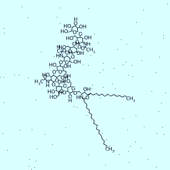 CCCCCCCCCCCCC/C=C/[C@@H](O)[C@H](CO[C@@H]1OC(CO)[C@@H](O[C@@H]2OC(CO)[C@H](O)[C@H](O[C@@H]3OC(CO)[C@@H](O[C@@H]4OC(CO)[C@H](O)[C@H](O[C@@H]5OC(CO)[C@@H](O[C@@H]6OC(CO)[C@H](O)[C@H](O[C@@H]7OC(CO)[C@@H](O[C@@H]8OC(CO)[C@H](O)[C@H](O)C8O)[C@H](O)C7NC(C)=O)C6O)[C@H](O)C5NC(C)=O)C4O)[C@H](O)C3NC(C)=O)C2O)[C@H](O)C1O)NC(=O)CCCCCCCCCCCCCCCCCCC